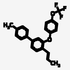 C/C=C/c1ccc(-c2ccc(C)cc2)cc1Oc1ccc(OC(F)(F)F)cc1